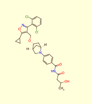 CC(O)CC(=O)NC(=O)c1ccc(N2C[C@@H]3C[C@H]2C[C@H]3OCc2c(-c3c(Cl)cccc3Cl)noc2C2CC2)cc1